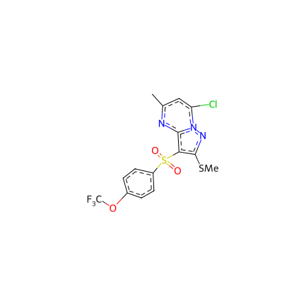 CSc1nn2c(Cl)cc(C)nc2c1S(=O)(=O)c1ccc(OC(F)(F)F)cc1